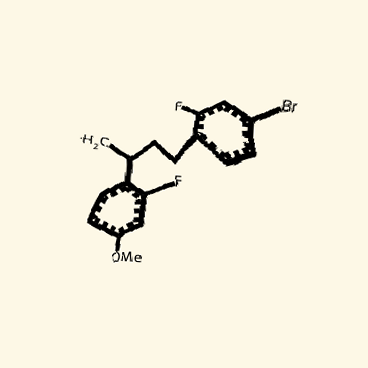 [CH2]C(CCc1ccc(Br)cc1F)c1ccc(OC)cc1F